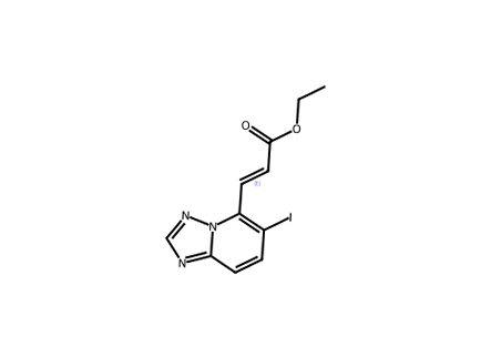 CCOC(=O)/C=C/c1c(I)ccc2ncnn12